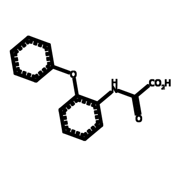 O=C(O)C(=O)Nc1ccccc1Oc1ccccc1